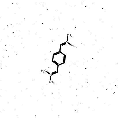 C[Si](C)=Cc1ccc(C=[Si](C)C)cc1